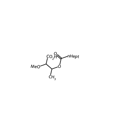 CCCCCCCC(=O)OC(C)C(OC)C(=O)O